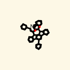 c1ccc(-c2cc(C3c4ccccc4-c4c(-c5ccccc5)cc5c(c43)C(c3ccccc3)c3ccccc3-5)cc(-c3ccccc3)n2)cc1